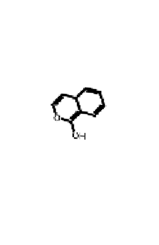 OC1=C2C=CC=CC2C=CO1